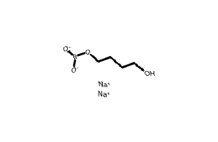 [Na+].[Na+].[O-]B([O-])OCCCCO